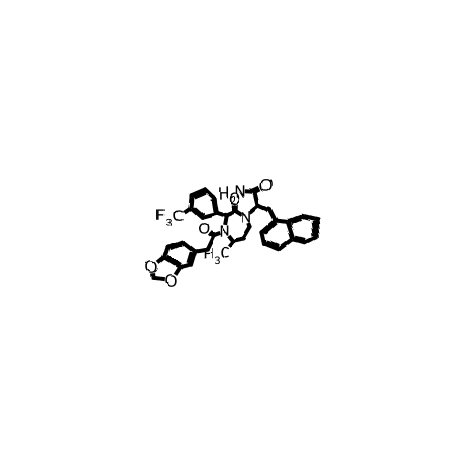 CC1CCN(C(Cc2cccc3ccccc23)C(N)=O)C(=O)C(c2cccc(C(F)(F)F)c2)N1C(=O)Cc1ccc2c(c1)OCO2